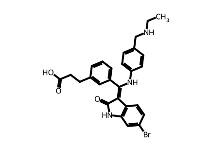 CCNCc1ccc(NC(=C2C(=O)Nc3cc(Br)ccc32)c2cccc(CCC(=O)O)c2)cc1